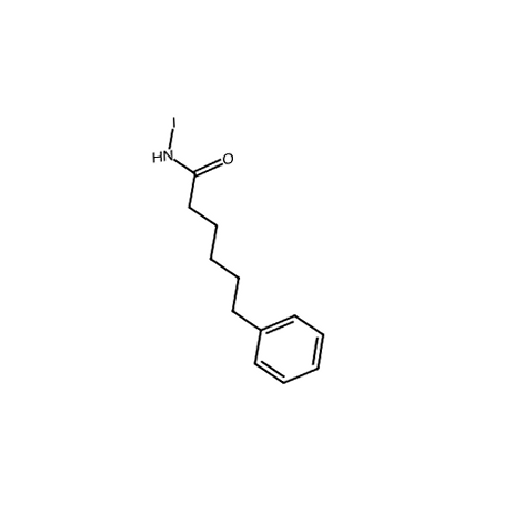 O=C(CCCCCc1ccccc1)NI